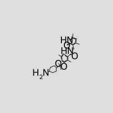 Cc1cc(C)c(CNC(=O)c2cc(C)c3c(c2C)OC(C)(C2CCC(N)CC2)O3)c(=O)[nH]1